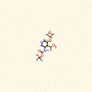 COC(C)c1c(NC(=O)OC(C)(C)C)cncc1OC1COC1